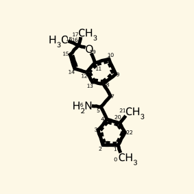 Cc1ccc(C(N)Cc2ccc3c(c2)C=CC(C)(C)O3)c(C)c1